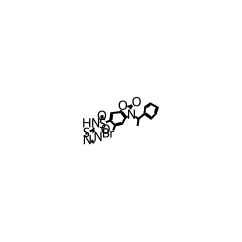 CC(c1ccccc1)n1c(=O)oc2cc(S(=O)(=O)Nc3ncns3)c(Br)cc21